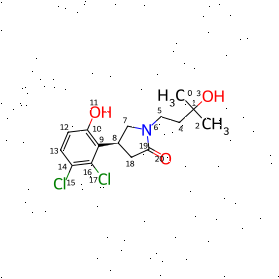 CC(C)(O)CCN1C[C@H](c2c(O)ccc(Cl)c2Cl)CC1=O